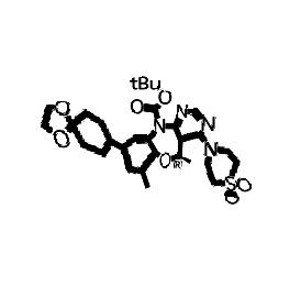 Cc1cc(C2CCC3(CC2)OCCO3)cc2c1O[C@H](C)c1c(N3CCS(=O)(=O)CC3)ncnc1N2C(=O)OC(C)(C)C